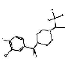 CC(N1CCC(C(=O)c2ccc(F)c(Cl)c2)CC1)C(F)(F)F